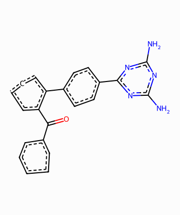 Nc1nc(N)nc(-c2ccc(-c3ccccc3C(=O)c3ccccc3)cc2)n1